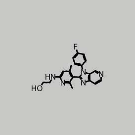 Cc1cc(NCCO)nc(C)c1-c1nc2ccncc2n1-c1ccc(F)cc1